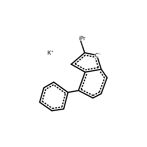 CC(C)c1cc2c(-c3ccccc3)cccc2[cH-]1.[K+]